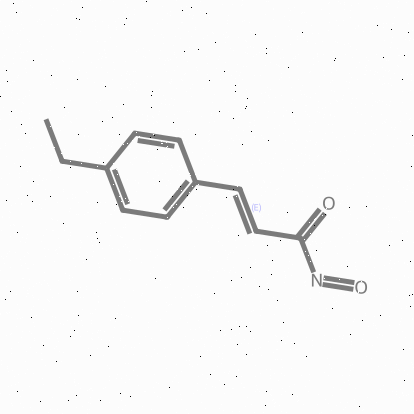 CCc1ccc(/C=C/C(=O)N=O)cc1